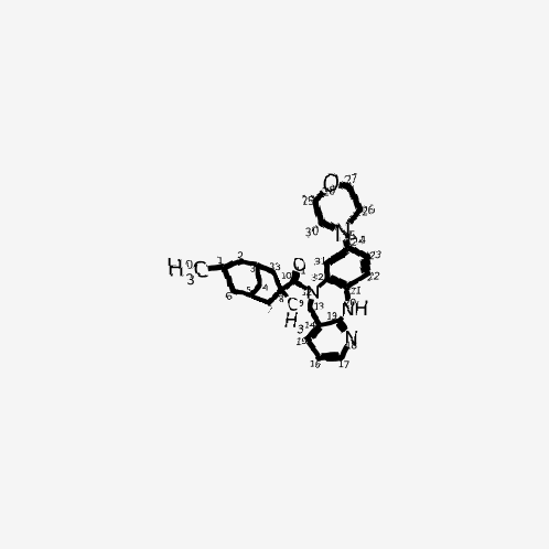 CC1CC2CC(C1)CC(C)(C(=O)N1Cc3cccnc3Nc3ccc(N4CCOCC4)cc31)C2